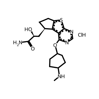 CNC1CCC(Oc2ncnc3sc4c(c23)[C@@H](C[C@H](O)C(N)=O)CC4)CC1.Cl